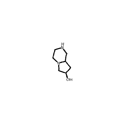 OC1CC2[CH]NCCN2C1